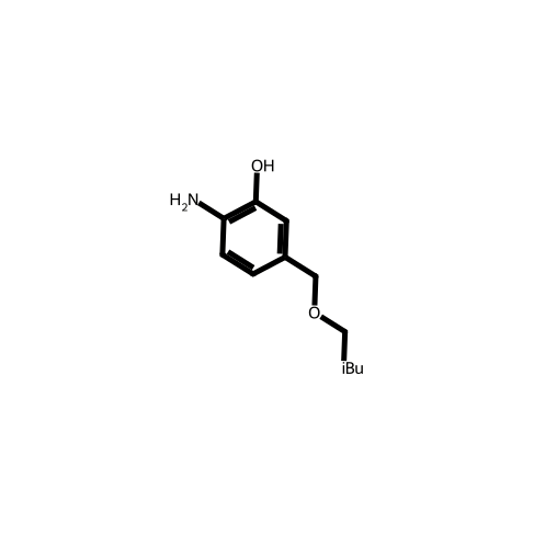 CCC(C)COCc1ccc(N)c(O)c1